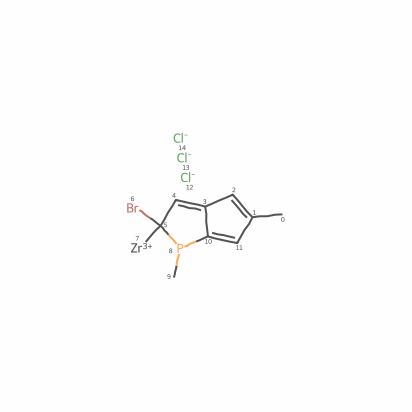 CC1=CC2=C[C](Br)([Zr+3])P(C)C2=C1.[Cl-].[Cl-].[Cl-]